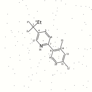 CCC(C)(C)c1ccc(-c2ccc(C)cc2C)nc1